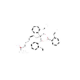 C=Cc1ccccc1C1OCC(C/C=C\CCCC(=O)OC)(c2ccccc2C=C)C(c2ccccc2C=C)O1